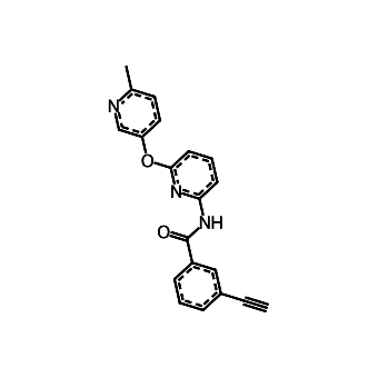 C#Cc1cccc(C(=O)Nc2cccc(Oc3ccc(C)nc3)n2)c1